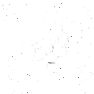 Cc1ccc2c(c1)N=C(c1ccccc1)C(c1ccccc1)=NC2